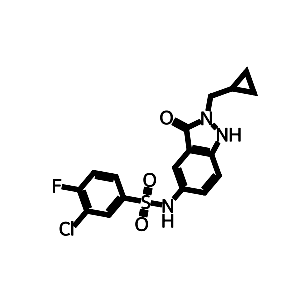 O=c1c2cc(NS(=O)(=O)c3ccc(F)c(Cl)c3)ccc2[nH]n1CC1CC1